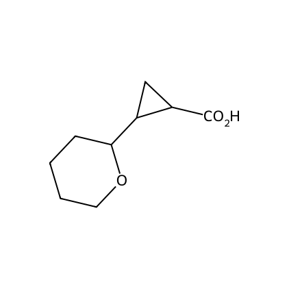 O=C(O)C1CC1C1CCCCO1